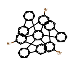 Brc1ccc2c(c1)C1(c3ccccc3-c3ccccc31)c1c-2c2c(c3c1-c1ccc(Br)cc1C31c3ccccc3-c3ccccc31)-c1ccc(Br)cc1C21c2ccccc2-c2ccccc21